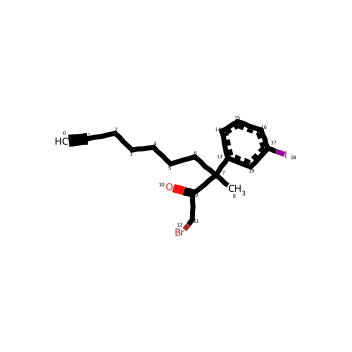 C#CCCCCCC(C)(C(=O)CBr)c1cccc(I)c1